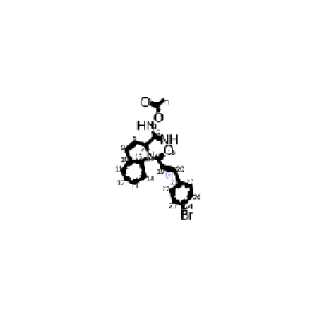 CC(=O)ONC(=N)C1C=Cc2ccccc2N1C(=O)/C=C/c1ccc(Br)cc1